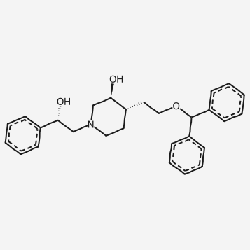 O[C@H](CN1CC[C@@H](CCOC(c2ccccc2)c2ccccc2)[C@H](O)C1)c1ccccc1